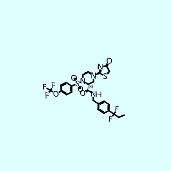 CCC(F)(F)c1ccc(CNC(=O)[C@H]2CN(C3=NC(=O)CS3)CCN2S(=O)(=O)c2ccc(OC(F)(F)F)cc2)cc1